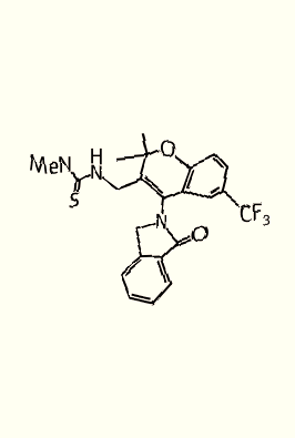 CNC(=S)NCC1=C(N2Cc3ccccc3C2=O)c2cc(C(F)(F)F)ccc2OC1(C)C